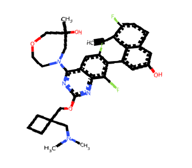 C#Cc1c(F)ccc2cc(O)cc(-c3c(F)cc4c(N5CCOCC(C)(O)C5)nc(OCC5(CN(C)C)CCC5)nc4c3F)c12